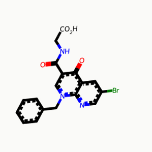 O=C(O)CNC(=O)c1cn(Cc2ccccc2)c2ncc(Br)cc2c1=O